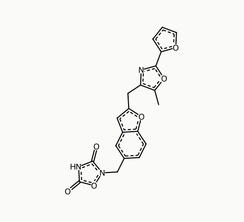 Cc1oc(-c2ccco2)nc1Cc1cc2cc(Cn3oc(=O)[nH]c3=O)ccc2o1